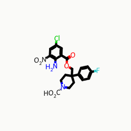 Nc1c(C(=O)OCC2(c3ccc(F)cc3)CCN(C(=O)O)CC2)cc(Cl)cc1[N+](=O)[O-]